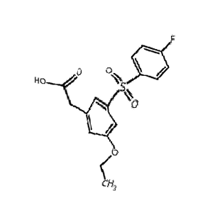 CCOc1cc(CC(=O)O)cc(S(=O)(=O)c2ccc(F)cc2)c1